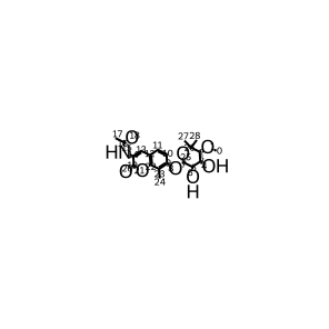 COC1C(O)C(O)C(Oc2ccc3cc(NC(C)=O)c(=O)oc3c2C)OC1(C)C